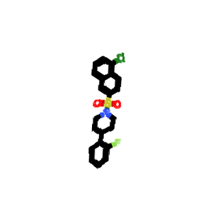 O=S(=O)(c1ccc2c(Cl)cccc2c1)N1CCC(C2C=CCC=C2F)CC1